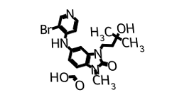 Cn1c(=O)n(CCC(C)(C)O)c2cc(Nc3ccncc3Br)ccc21.O=CO